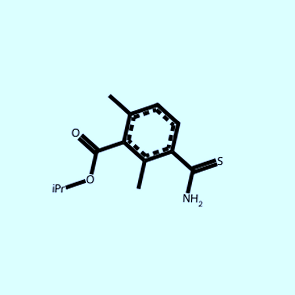 Cc1ccc(C(N)=S)c(C)c1C(=O)OC(C)C